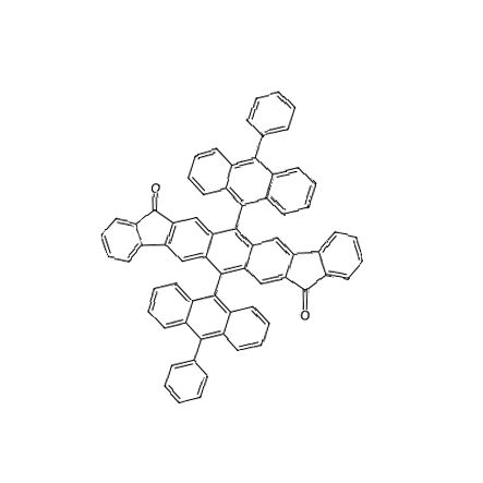 O=c1c2ccccc2c2cc3c(-c4c5ccccc5c(-c5ccccc5)c5ccccc45)c4cc5c(=O)c6ccccc6c5cc4c(-c4c5ccccc5c(-c5ccccc5)c5ccccc45)c3cc12